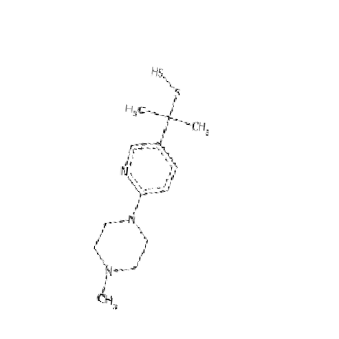 CN1CCN(c2ccc(C(C)(C)SS)cn2)CC1